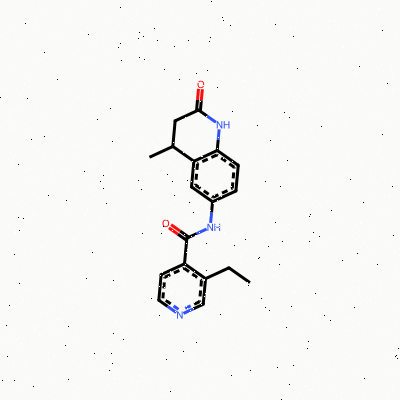 CCc1cnccc1C(=O)Nc1ccc2c(c1)C(C)CC(=O)N2